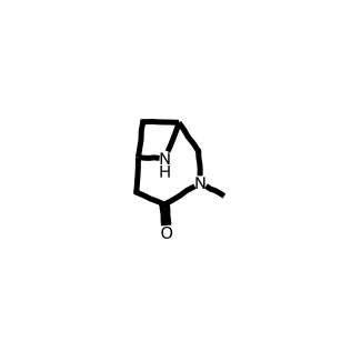 CN1CC2CC(CC1=O)N2